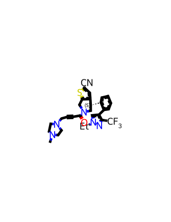 CCn1cc(-c2ccccc2[C@@H]2CN(C(=O)C#CCN3CCN(C)CC3)Cc3sc(C#N)cc32)c(C(F)(F)F)n1